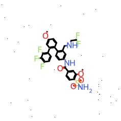 COc1ccc(-c2ccc(NC(=O)c3ccc(S(N)(=O)=O)c(OC)c3)cc2CNCC(F)F)c(-c2ccc(F)c(F)c2F)c1